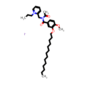 CCCCCCCCCCCCCCOc1cc(C(=O)N(Cc2cccc[n+]2CCC)C(C)=O)ccc1OC.[I-]